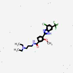 CCN(CC)CCCNC(=O)c1ccc(-c2nc3c(Cl)cc(C(F)(F)F)cc3[nH]2)c(OC)c1